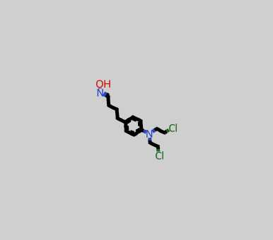 ON=CCCCc1ccc(N(CCCl)CCCl)cc1